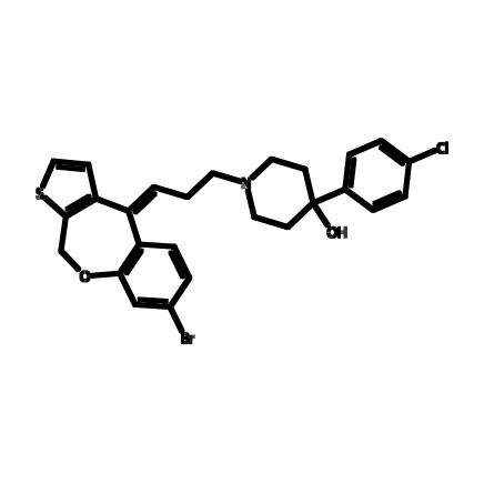 OC1(c2ccc(Cl)cc2)CCN(CCC=C2c3ccc(Br)cc3OCc3sccc32)CC1